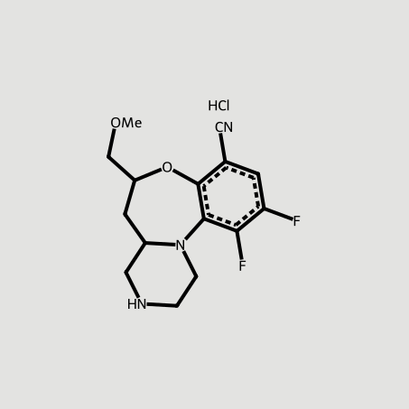 COCC1CC2CNCCN2c2c(F)c(F)cc(C#N)c2O1.Cl